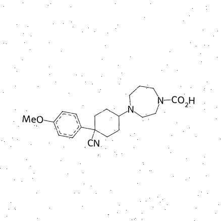 COc1ccc(C2(C#N)CCC(N3CCCN(C(=O)O)CC3)CC2)cc1